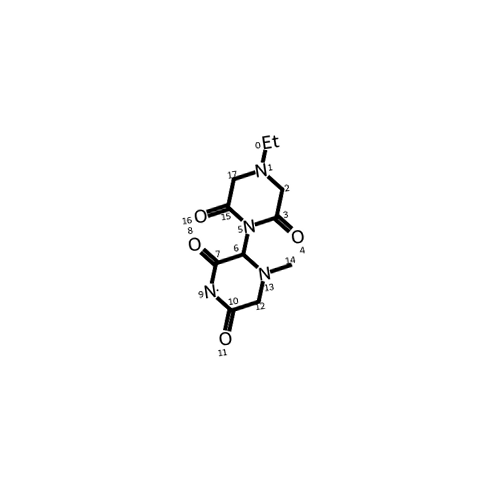 CCN1CC(=O)N(C2C(=O)[N]C(=O)CN2C)C(=O)C1